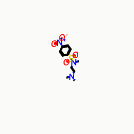 CN(C)CCN(C)S(=O)(=O)c1ccc([N+](=O)[O-])cc1